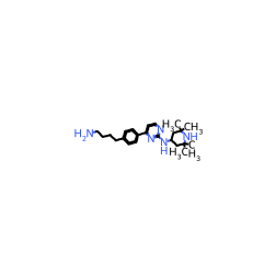 CC1(C)CC(Nc2nccc(-c3ccc(CCCCN)cc3)n2)CC(C)(C)N1